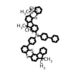 CC1(C)c2ccccc2-c2c1ccc1c2Sc2c(cccc2-c2ccc(N(c3ccc(-c4ccccc4)cc3)c3ccc4c(c3)C(C)(C)c3ccc5c(c3-4)Sc3ccccc3[Si]5(C)C)cc2)S1